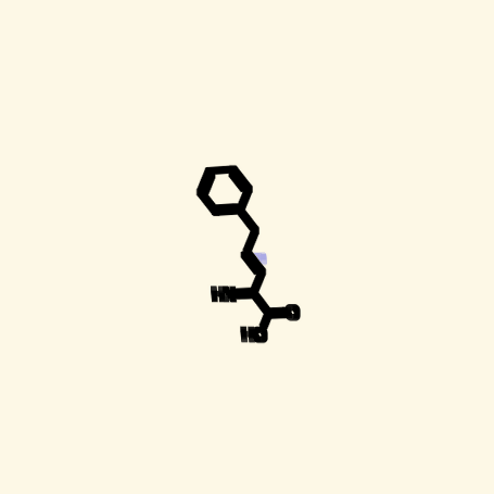 N=C(/C=C/Cc1ccccc1)C(=O)O